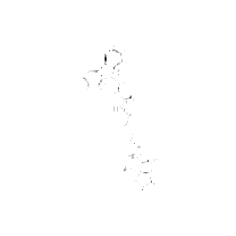 [CH2]C[CH]C1(C(=O)NCCCCCNC(=O)OCC2c3ccccc3-c3ccccc32)CCCC1